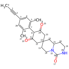 CC#Cc1cc(C)c(C2C(=O)CC3(CCN4C(=O)NCCC4C3)CC2=O)c(C)c1